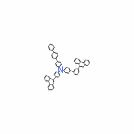 c1ccc(-c2ccc(-c3ccc(N(c4ccc(-c5cccc(-c6cc7ccccc7c7ccccc67)c5)cc4)c4ccc(-c5cc6ccccc6c6ccccc56)cc4)cc3)cc2)cc1